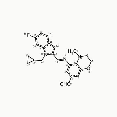 CN1CCOc2cc(C=O)cc(/N=C/c3cc4ccc(F)cc4n3CC3CC3)c21